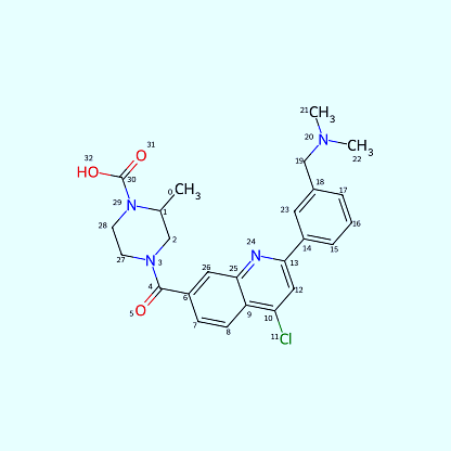 CC1CN(C(=O)c2ccc3c(Cl)cc(-c4cccc(CN(C)C)c4)nc3c2)CCN1C(=O)O